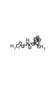 C=CC(=O)OCCNC(=O)COC1C2OS(=O)(=O)C3CC1(C)CC23